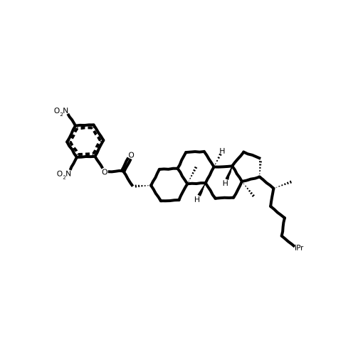 CC(C)CCC[C@@H](C)[C@H]1CC[C@H]2[C@@H]3CCC4C[C@@H](CC(=O)Oc5ccc([N+](=O)[O-])cc5[N+](=O)[O-])CC[C@]4(C)[C@H]3CC[C@]12C